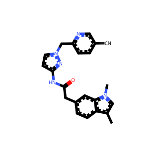 Cc1cn(C)c2cc(CC(=O)Nc3ccn(Cc4ccc(C#N)cn4)n3)ccc12